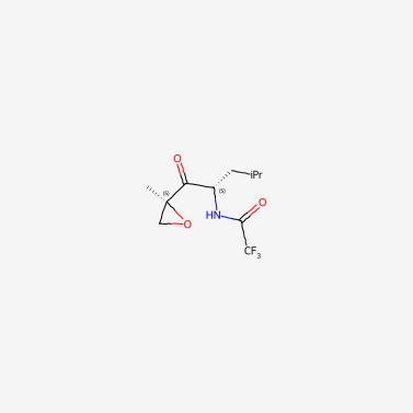 CC(C)C[C@H](NC(=O)C(F)(F)F)C(=O)[C@]1(C)CO1